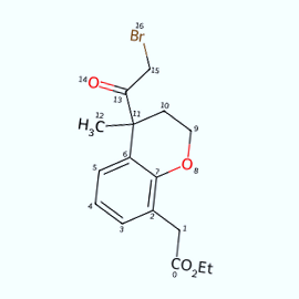 CCOC(=O)Cc1cccc2c1OCCC2(C)C(=O)CBr